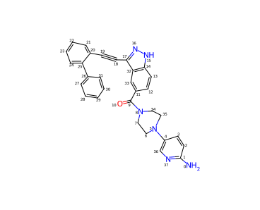 Nc1ccc(N2CCN(C(=O)c3ccc4[nH]nc(C#Cc5ccccc5-c5ccccc5)c4c3)CC2)cn1